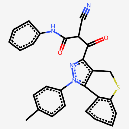 Cc1ccc(-n2nc(C(=O)C(C#N)C(=O)Nc3ccccc3)c3c2-c2ccccc2SC3)cc1